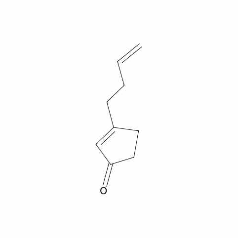 C=CCCC1=CC(=O)CC1